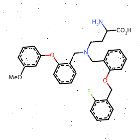 COc1cccc(Oc2ccccc2CN(CCC(N)C(=O)O)Cc2ccccc2OCc2ccccc2F)c1